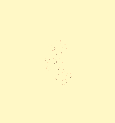 c1ccc(-c2nc3c(-c4ccc5c(c4)-c4ccccc4C54c5ccccc5-c5ccccc54)ccc(-c4ccc5c(c4)-c4ccccc4C54c5ccccc5-c5ccccc54)c3nc2-c2ccccc2)cc1